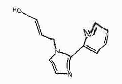 OC=CCn1ccnc1-c1ccccn1